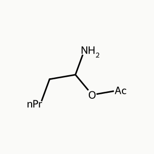 CCCCC(N)OC(C)=O